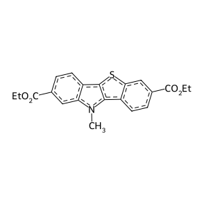 CCOC(=O)c1ccc2c(c1)sc1c3ccc(C(=O)OCC)cc3n(C)c21